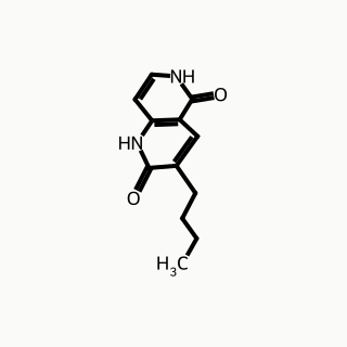 CCCCc1cc2c(=O)[nH]ccc2[nH]c1=O